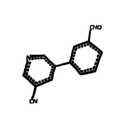 N#Cc1cncc(-c2cccc(C=O)c2)c1